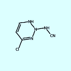 N#CNN1N=C(Cl)C=[C]N1